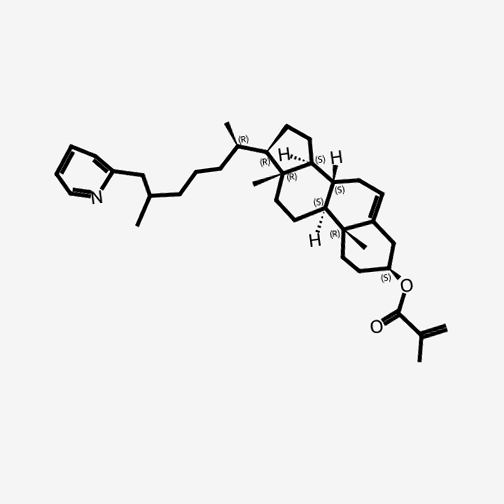 C=C(C)C(=O)O[C@H]1CC[C@@]2(C)C(=CC[C@H]3[C@@H]4CC[C@H]([C@H](C)CCCC(C)Cc5ccccn5)[C@@]4(C)CC[C@@H]32)C1